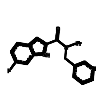 CC(C)N(Cc1cccnc1)C(=O)c1cc2ccc(F)cc2[nH]1